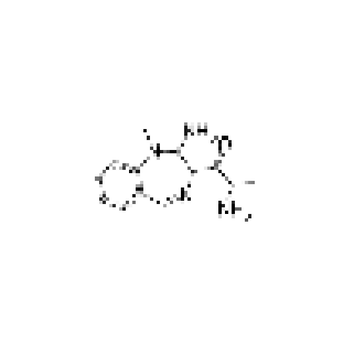 CC1=NC(C(=O)[C@H](C)N)C(N)N(C)c2ccccc21